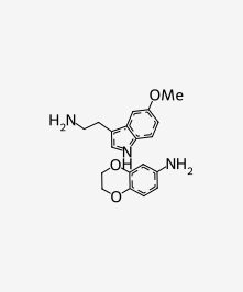 COc1ccc2[nH]cc(CCN)c2c1.Nc1ccc2c(c1)OCCO2